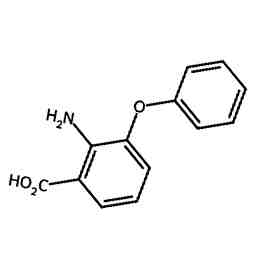 Nc1c(Oc2ccccc2)cccc1C(=O)O